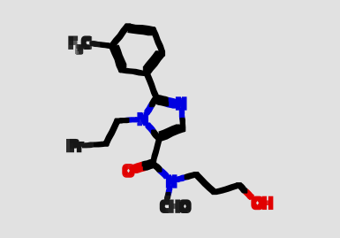 CC(C)CCn1c(C(=O)N(C=O)CCCO)cnc1-c1cccc(C(F)(F)F)c1